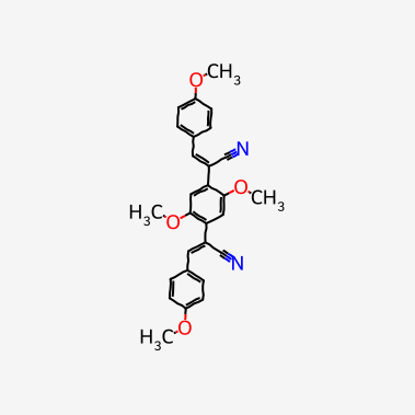 COc1ccc(C=C(C#N)c2cc(OC)c(C(C#N)=Cc3ccc(OC)cc3)cc2OC)cc1